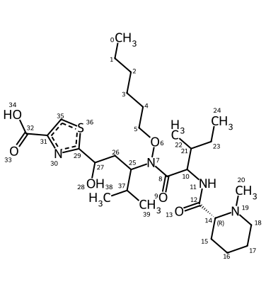 CCCCCCON(C(=O)C(NC(=O)[C@H]1CCCCN1C)C(C)CC)C(CC(O)c1nc(C(=O)O)cs1)C(C)C